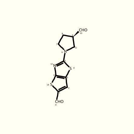 O=Cc1cc2sc(N3CC[C@@H](C=O)C3)nc2s1